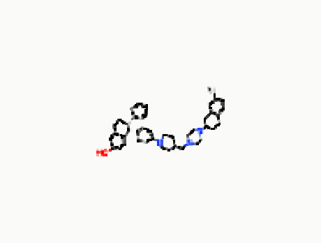 [2H]c1ccc2c(c1)C[C@H](N1CCN(CC3CCN(c4ccc([C@@H]5c6ccc(O)cc6CC[C@@H]5c5ccccc5)cc4)CC3)CC1)CC2